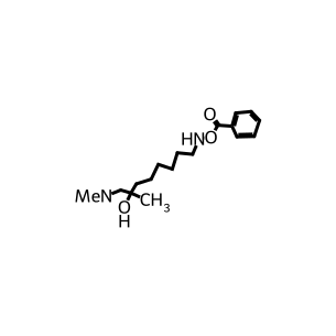 CNCC(C)(O)CCCCCCNOC(=O)c1ccccc1